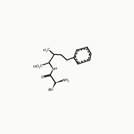 CC[C@H](C)[C@H](N)C(=O)NC(C(=O)O)C(C)CCc1ccccc1